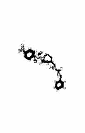 O=C(NCC1CCN(S(=O)(=O)c2ccc([N+](=O)[O-])cc2)CC1)OCc1ccccc1